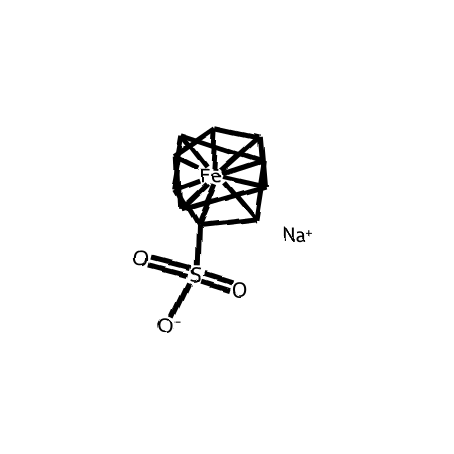 O=S(=O)([O-])[C]12[CH]3[CH]4[CH]5[CH]1[Fe]45321678[CH]2[CH]1[CH]6[CH]7[CH]28.[Na+]